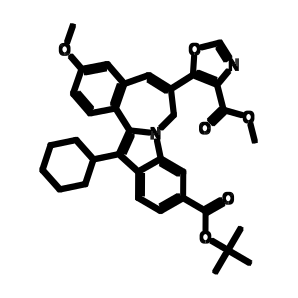 COC(=O)c1ncoc1C1=Cc2cc(OC)ccc2-c2c(C3CCCCC3)c3ccc(C(=O)OC(C)(C)C)cc3n2C1